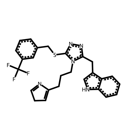 FC(F)(F)c1cccc(CSc2nnc(Cc3c[nH]c4ccccc34)n2CCCC2=CCC=N2)c1